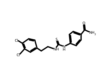 NC(=O)c1ccc(NC(=S)NCCc2ccc(Cl)c(Cl)c2)cc1